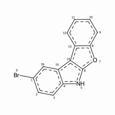 Brc1ccc2[nH]c3oc4ccccc4c3c2c1